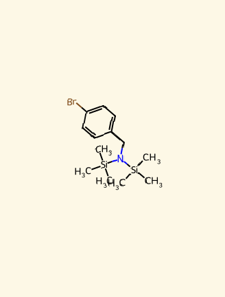 C[Si](C)(C)N(Cc1ccc(Br)cc1)[Si](C)(C)C